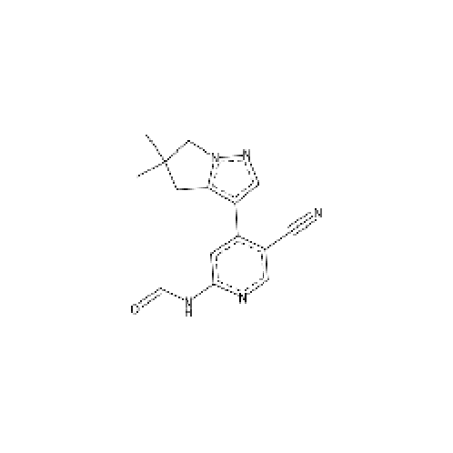 CC1(C)Cc2c(-c3cc(NC=O)ncc3C#N)cnn2C1